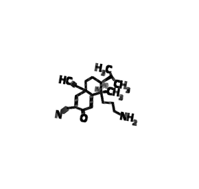 C#CC12C=C(C#N)C(=O)C=C1[C@@](C)(CCCN)[C@H](C(C)C)CC2